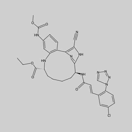 CCOC(=O)[C@H]1CCCC[C@H](NC(=O)/C=C/c2cc(Cl)ccc2-n2cnnn2)c2nc(c(C#N)[nH]2)-c2ccc(NC(=O)OC)cc2N1